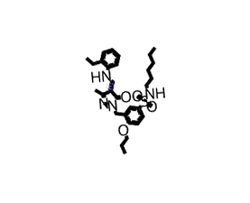 CCCCCCNS(=O)(=O)c1ccc(OCCC)c(CN2N=C(C)/C(=C\Nc3ccccc3CC)C2=O)c1